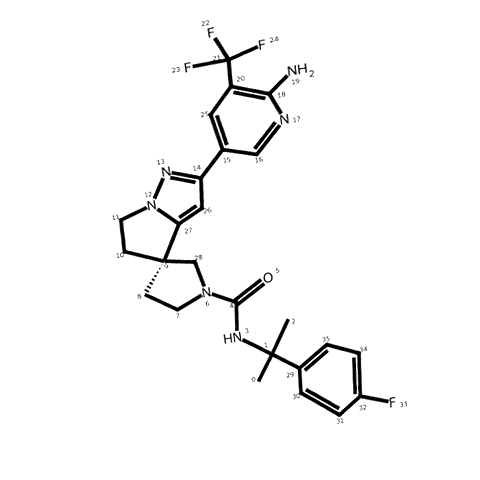 CC(C)(NC(=O)N1CC[C@@]2(CCn3nc(-c4cnc(N)c(C(F)(F)F)c4)cc32)C1)c1ccc(F)cc1